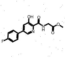 COC(=O)CNC(=O)c1ncc(-c2ccc(F)cc2)cc1O